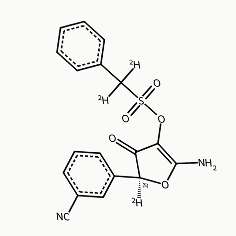 [2H]C([2H])(c1ccccc1)S(=O)(=O)OC1=C(N)O[C@@]([2H])(c2cccc(C#N)c2)C1=O